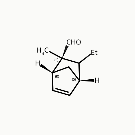 CCC1[C@@H]2C=C[C@@H](C2)[C@@]1(C)C=O